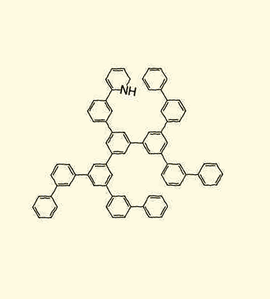 C1=CCNC(c2cccc(-c3cc(-c4cc(-c5cccc(-c6ccccc6)c5)cc(-c5cccc(-c6ccccc6)c5)c4)cc(-c4cc(-c5cccc(-c6ccccc6)c5)cc(-c5cccc(-c6ccccc6)c5)c4)c3)c2)=C1